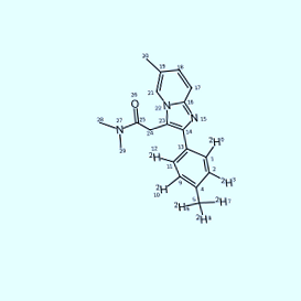 [2H]c1c([2H])c(C([2H])([2H])[2H])c([2H])c([2H])c1-c1nc2ccc(C)cn2c1CC(=O)N(C)C